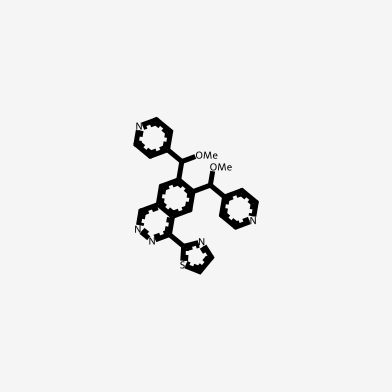 COC(c1ccncc1)c1cc2cnnc(-c3nccs3)c2cc1C(OC)c1ccncc1